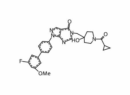 COc1cc(F)cc(-c2ccc(-n3ncc4c(=O)n(CC5(O)CCN(C(=O)C6CC6)CC5)cnc43)cc2)c1